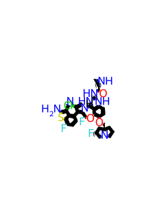 N#Cc1c(N)sc2c(F)ccc(-c3c(Cl)cn4c3C(F)Oc3c(OC[C@@]56CCCN5C[C@H](F)C6)ccc5c3[C@H]4N[C@H](NC(=O)[C@H]3CN3)N5)c12